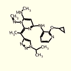 C=NN1C(NC)=CC(Nc2cccnc2OC2CC2)=N/C1=C(/C)c1cn(C(C)C)nn1